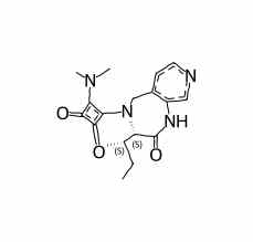 CC[C@H](C)[C@H]1C(=O)Nc2cnccc2CN1c1c(N(C)C)c(=O)c1=O